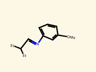 CCC(C=Nc1cccc(OC)c1)CC